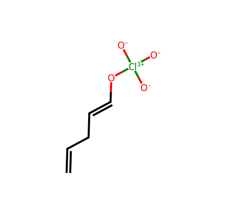 C=CCC=CO[Cl+3]([O-])([O-])[O-]